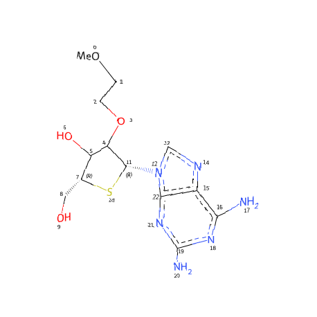 COCCOC1C(O)[C@@H](CO)S[C@H]1n1cnc2c(N)nc(N)nc21